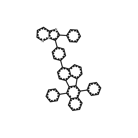 c1ccc(-c2nc3cccnn3c2-c2ccc(-c3ccc4c5c(cccc35)-c3c-4c(-c4ccccc4)c4ccccc4c3-c3ccccc3)cc2)cc1